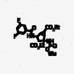 CCOC(=O)C1C2C(NC(=O)c3cc(F)cc(F)c3)CC(NC(=O)OC(C)(C)C)(C(=O)OCC)C12